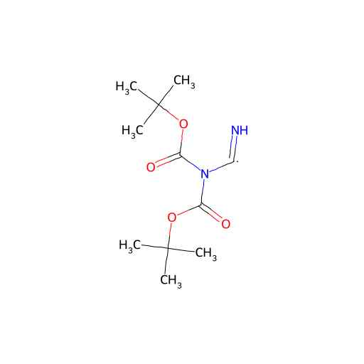 CC(C)(C)OC(=O)N([C]=N)C(=O)OC(C)(C)C